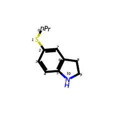 CCCSc1ccc2c(c1)CCN2